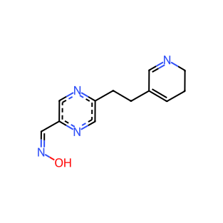 O/N=C\c1cnc(CCC2=CCCN=C2)cn1